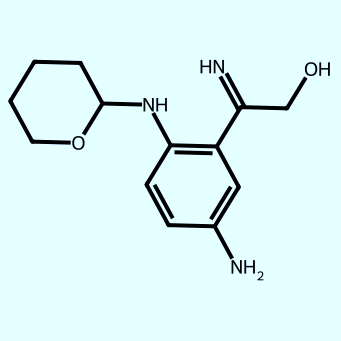 N=C(CO)c1cc(N)ccc1NC1CCCCO1